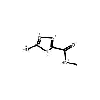 CNC(=O)c1nnc(O)[nH]1